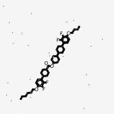 CCCCCCOc1ccc(C2CCC(C(=O)OC3CCC(C4CCC(c5ccc(OCCCC)c(F)c5F)CC4)CC3)CC2)c(F)c1F